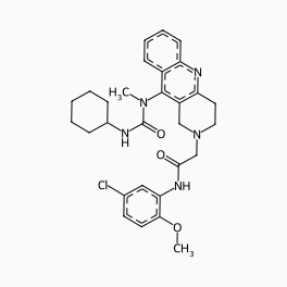 COc1ccc(Cl)cc1NC(=O)CN1CCc2nc3ccccc3c(N(C)C(=O)NC3CCCCC3)c2C1